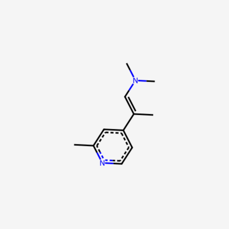 CC(=CN(C)C)c1ccnc(C)c1